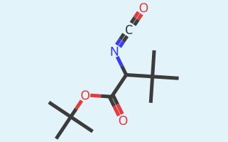 CC(C)(C)OC(=O)C(N=C=O)C(C)(C)C